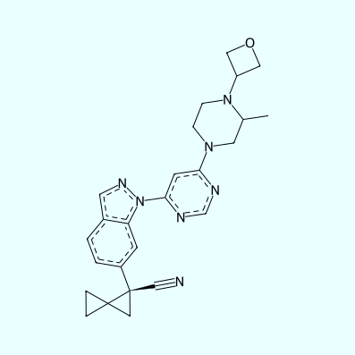 CC1CN(c2cc(-n3ncc4ccc([C@]5(C#N)CC56CC6)cc43)ncn2)CCN1C1COC1